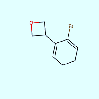 BrC1=CCCC=C1C1COC1